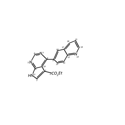 CCOC(=O)c1c[nH]c2ncnc(-c3ccc4ncccc4c3)c12